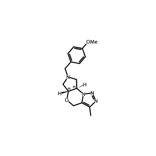 COc1ccc(CN2C[C@@H]3[C@@H](C2)OCc2c(C)nnn23)cc1